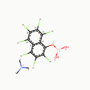 CN(C)C.OB(O)Oc1c(F)c(F)c(F)c2c(F)c(F)c(F)c(F)c12